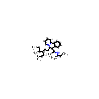 C=C(N/C(C)=C\C)C1c2ccccc2-c2cccc[n+]2C1CCC(/C=C\C)C(C)CC